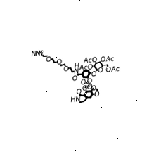 CC(=O)OC[C@H]1O[C@@H](Oc2ccc(C(=O)NCCOCCOCCOCCN=[N+]=[N-])cc2OS(=O)(=O)Oc2c3c(cc4c2C(=O)NCC4)OCO3)[C@H](OC(C)=O)[C@@H](OC(C)=O)[C@H]1OC(C)=O